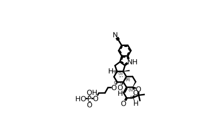 CC1(C)O[C@@]23CC[C@]4(C)[C@@]5(C)c6[nH]c7ccc(C#N)cc7c6C[C@@H]5C[C@H](OCCCOP(=O)(O)O)[C@@]4(O)C2=CC(=O)[C@H]1O3